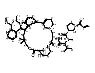 C=CC(=O)N1CC[C@H](C(=O)N(C)C(C(=O)N[C@H]2CN3CCC=C(C3)c3ccc4c(c3)c(c(-c3cccnc3[C@H](C)OC)n4CC)CC(C)(C)COC(=O)[C@@H]3CCCN(N3)C2=O)C(C)C)C1